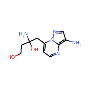 Nc1cnn2c(CC(N)(O)CCO)ccnc12